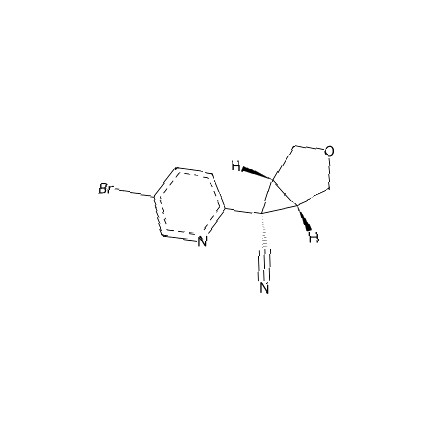 N#C[C@]1(c2ccc(Br)cn2)[C@@H]2COC[C@@H]21